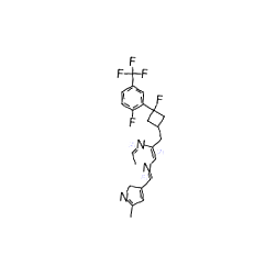 C\C=N/C(=C\N=C\C1=CC(C)=NC1)CC1CC(F)(c2cc(C(F)(F)F)ccc2F)C1